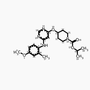 COc1ccc(Nc2cc(OC3CCN(C(=O)OC(C)C)CC3)ncn2)c(C)c1